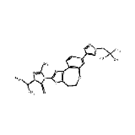 Cc1nn(C(C)C)c(=O)n1-c1nc2c(s1)CCOc1cc(-c3cnn(CC(C)(C)O)c3)ccc1-2